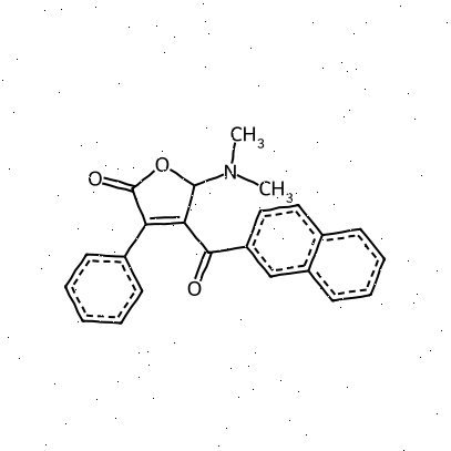 CN(C)C1OC(=O)C(c2ccccc2)=C1C(=O)c1ccc2ccccc2c1